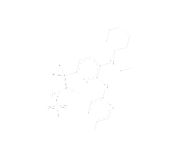 CC(C)CN(c1ccc(C2(C(=O)NS(C)(=O)=O)CC2)nc1Nc1ccc(Cl)cn1)C1CCOCC1